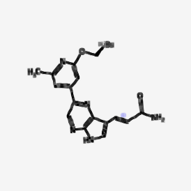 CC[C@H](C)COc1cc(-c2cnc3[nH]cc(/C=C/C(N)=O)c3n2)cc(C)n1